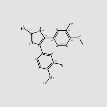 COc1ccc(-c2nc(S)[nH]c2-c2ccc(OC)c(C)c2)cc1C